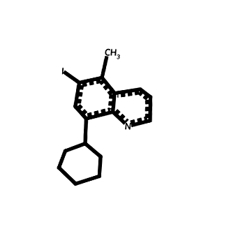 Cc1c(I)cc(C2CCCCC2)c2ncccc12